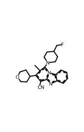 Cc1c(C2CCOCC2)c(C#N)c2nc3ccccc3n2c1N1CCC(CF)CC1